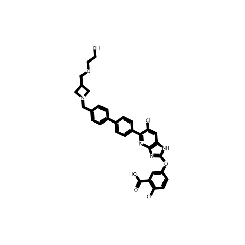 O=C(O)c1cc(Oc2nc3nc(-c4ccc(-c5ccc(CN6CC(COCCO)C6)cc5)cc4)c(Cl)cc3[nH]2)ccc1Cl